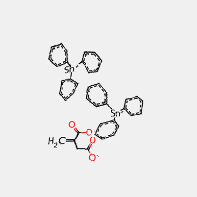 C=C(CC(=O)[O-])C(=O)[O-].c1cc[c]([Sn+]([c]2ccccc2)[c]2ccccc2)cc1.c1cc[c]([Sn+]([c]2ccccc2)[c]2ccccc2)cc1